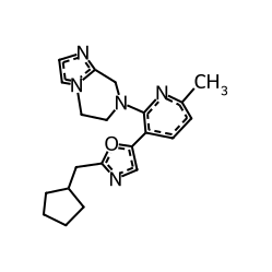 Cc1ccc(-c2cnc(CC3CCCC3)o2)c(N2CCn3ccnc3C2)n1